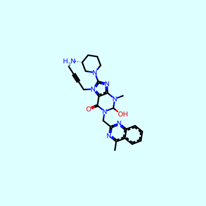 CC#CCn1c(N2CCC[C@@H](N)C2)nc2c1C(=O)N(Cc1nc(C)c3ccccc3n1)C(O)N2C